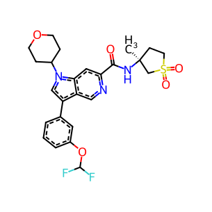 C[C@]1(NC(=O)c2cc3c(cn2)c(-c2cccc(OC(F)F)c2)cn3C2CCOCC2)CCS(=O)(=O)C1